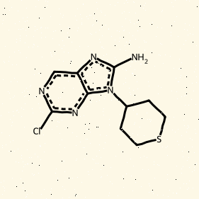 Nc1nc2cnc(Cl)nc2n1C1CCSCC1